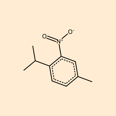 Cc1ccc(C(C)C)c([N+](=O)[O-])c1